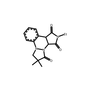 CCN1C(=O)C2c3ccccc3N3CC(C)(C)C(=O)N3C2C1=O